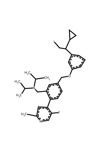 Cc1cc(-c2ccc(COc3cccc(C(CI)C4CC4)c3)cc2CN(C(C)C)C(C)C)c(F)cn1